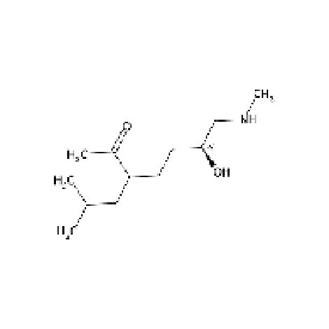 CNC[C@@H](O)CCC(CC(C)C)C(C)=O